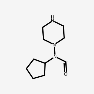 O=[C]N(C1CCCC1)N1CCNCC1